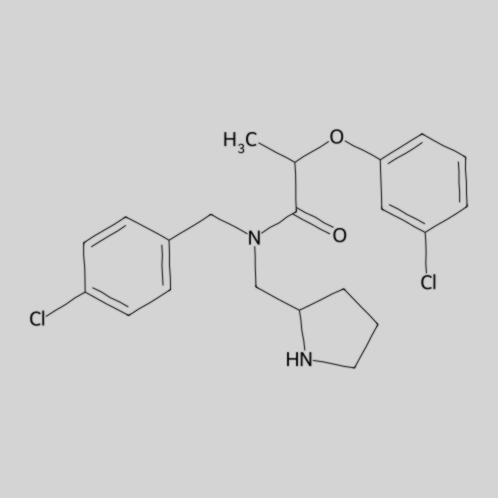 CC(Oc1cccc(Cl)c1)C(=O)N(Cc1ccc(Cl)cc1)CC1CCCN1